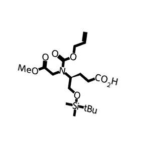 C=CCOC(=O)N(CC(=O)OC)[C@@H](CCC(=O)O)CO[Si](C)(C)C(C)(C)C